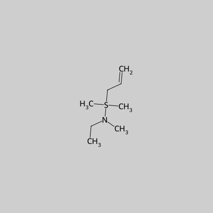 C=CCS(C)(C)N(C)CC